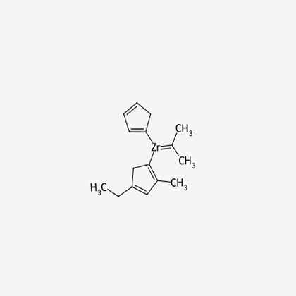 CCC1=CC(C)=[C]([Zr]([C]2=CC=CC2)=[C](C)C)C1